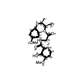 COc1ccc(O[C@@H](C)[C@H](OC(=O)[C@H](C)NC(=O)c2nccc(OC)c2O)C(C)C)cc1